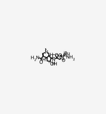 CC[C@H](C)[C@H](N)S(=O)(=O)CC(=O)N[C@]1(C(=O)O)[C@@H]2CN(C)C=C(C(N)=O)[C@@H]2C[C@@H]1O